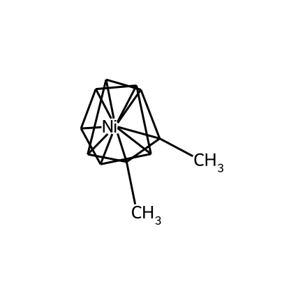 C[C]12[CH]3[CH]4[CH]5[C]1(C)[Ni]43521678[CH]2[CH]1[CH]6[CH]7[CH]28